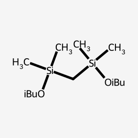 CC(C)CO[Si](C)(C)C[Si](C)(C)OCC(C)C